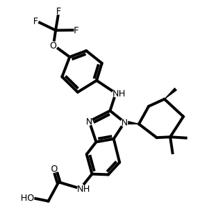 C[C@@H]1C[C@H](n2c(Nc3ccc(OC(F)(F)F)cc3)nc3cc(NC(=O)CO)ccc32)CC(C)(C)C1